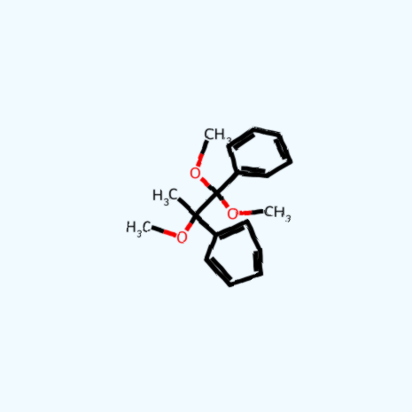 COC(C)(c1ccccc1)C(OC)(OC)c1ccccc1